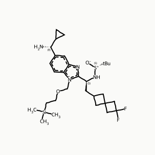 CC(C)(C)[S@@+]([O-])N[C@@H](CC1CC2(C1)CC(F)(F)C2)c1nc2cc([C@H](N)C3CC3)ccc2n1COCC[Si](C)(C)C